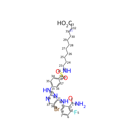 NC(=O)c1c(F)cccc1Nc1nc(Nc2ccc(S(=O)(=O)NCCCCCCCC/C=C/C(=O)O)cc2)ncc1Br